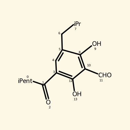 CCCC(C)C(=O)c1cc(CC(C)C)c(O)c(C=O)c1O